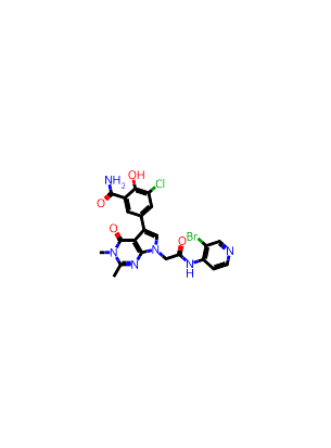 Cc1nc2c(c(-c3cc(Cl)c(O)c(C(N)=O)c3)cn2CC(=O)Nc2ccncc2Br)c(=O)n1C